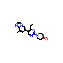 CCc1nc(N2CCC(=O)CC2)ncc1-c1cc(C)c2nccn2c1